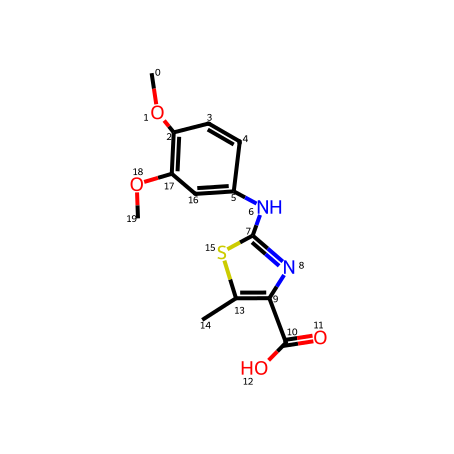 COc1ccc(Nc2nc(C(=O)O)c(C)s2)cc1OC